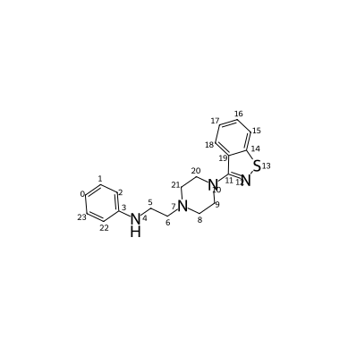 c1ccc(NCCN2CCN(c3nsc4ccccc34)CC2)cc1